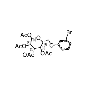 CC(=O)O[C@H]1O[C@H](COc2cccc(Br)c2)[C@@H](OC(C)=O)[C@H](OC(C)=O)[C@H]1OC(C)=O